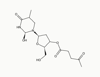 CC(=O)CCC(=O)OC1C[C@H](N2CC(C)C(=O)N[C@@H]2O)O[C@@H]1CO